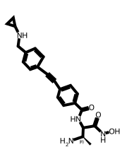 C[C@@H](N)C(NC(=O)c1ccc(C#Cc2ccc(CNC3CC3)cc2)cc1)C(=O)NO